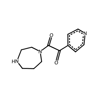 O=C(C(=O)N1CCCNCC1)c1ccncc1